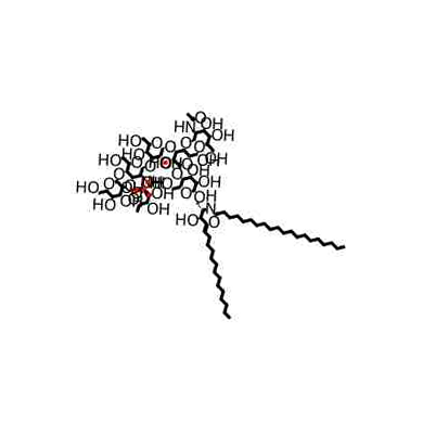 CCCCCCCCCCCCC/C=C/[C@@H](O)[C@H](CO[C@@H]1OC(CO)[C@@H](O[C@@H]2OC(CO)[C@H](O[C@@H]3OC(CO)[C@H](O)[C@H](O)C3NC(C)=O)[C@H](O[C@H]3OC(CO)[C@H](O)[C@H](O[C@@H]4OC(CO)[C@@H](O[C@@H]5OC(CO)[C@H](O)[C@H](O)C5O)[C@H](O[C@H]5OC(C)[C@@H](O)C(O)[C@@H]5O)C4NC(C)=O)C3O)C2O)[C@H](O)C1O)NC(=O)CCCCCCCCCCCCCCCCCCC